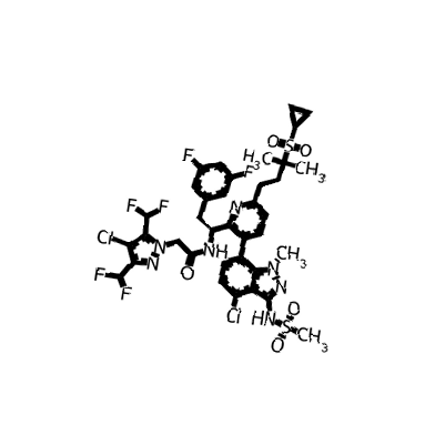 Cn1nc(NS(C)(=O)=O)c2c(Cl)ccc(-c3ccc(CCC(C)(C)S(=O)(=O)C4CC4)nc3[C@H](Cc3cc(F)cc(F)c3)NC(=O)Cn3nc(C(F)F)c(Cl)c3C(F)F)c21